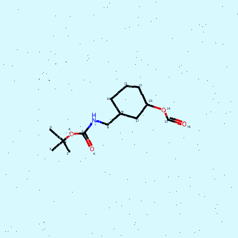 CC(C)(C)OC(=O)NCC1CCCC(OC=O)C1